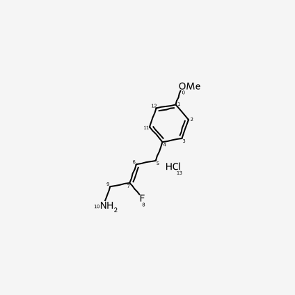 COc1ccc(CC=C(F)CN)cc1.Cl